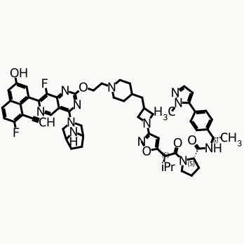 C#Cc1c(F)ccc2cc(O)cc(-c3ncc4c(N5CC6CCC(C5)N6)nc(OCCN5CCC(CC6CN(c7cc([C@@H](C(=O)N8CCC[C@H]8C(=O)N[C@@H](C)c8ccc(-c9ccnn9C)cc8)C(C)C)on7)C6)CC5)nc4c3F)c12